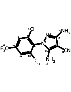 N#Cc1c(N)nn(-c2c(Cl)cc(C(F)(F)F)cc2Cl)c1N